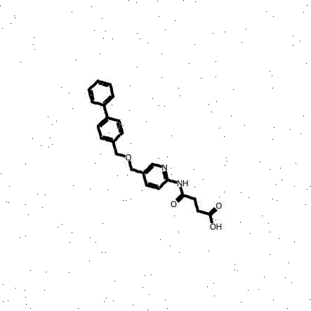 O=C(O)CCC(=O)Nc1ccc(COCc2ccc(-c3ccccc3)cc2)cn1